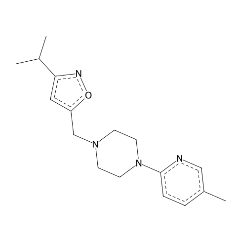 Cc1ccc(N2CCN(Cc3cc(C(C)C)no3)CC2)nc1